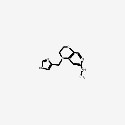 CNc1cc2c(cn1)OCCN2Cc1c[nH]cn1